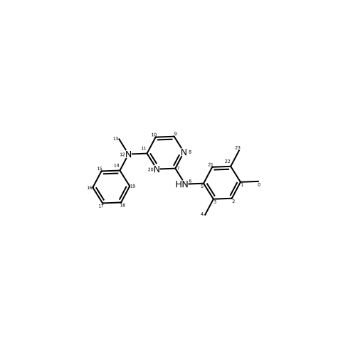 Cc1cc(C)c(Nc2nccc(N(C)c3ccccc3)n2)cc1C